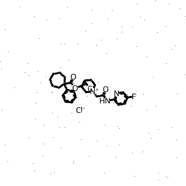 O=C(C[N+]12CCC(CC1)C(OC(=O)C1(c3ccccc3)CCCCCC1)C2)Nc1ccc(F)cn1.[Cl-]